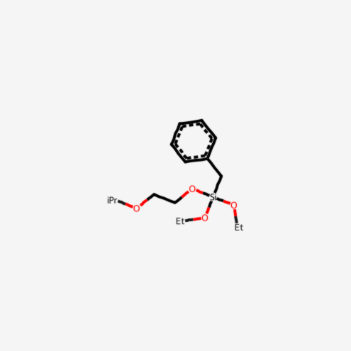 CCO[Si](Cc1ccccc1)(OCC)OCCOC(C)C